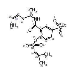 C=C(NC(=O)c1cc(S(=O)(=O)CC)ccc1OS(=O)(=O)C=C(C)C)S/C=C\N